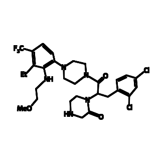 CCc1c(C(F)(F)F)ccc(N2CCN(C(=O)C(Cc3ccc(Cl)cc3Cl)N3CCNCC3=O)CC2)c1NCCOC